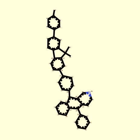 Cc1ccc(-c2ccc3c(c2)C(C)(C)c2cc(-c4ccc(-c5c6ccccc6c(-c6ccccc6)c6ccncc56)cc4)ccc2-3)cc1